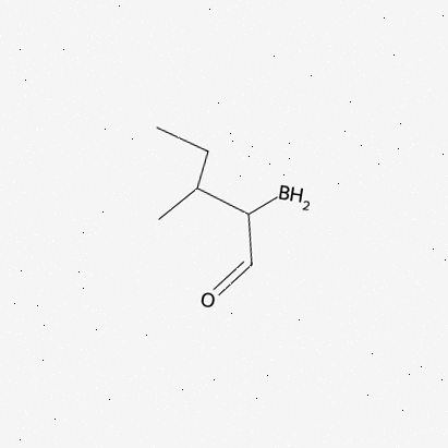 BC(C=O)C(C)CC